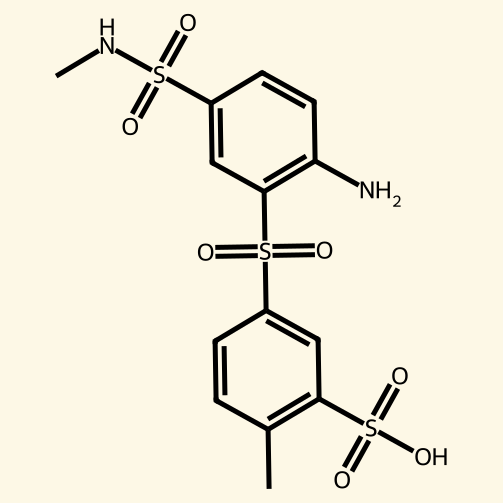 CNS(=O)(=O)c1ccc(N)c(S(=O)(=O)c2ccc(C)c(S(=O)(=O)O)c2)c1